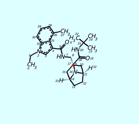 CCn1cc(C(=O)NC[C@@H]2C[C@H]3CC[C@@H](C2)N3CC(=O)NC(C)(C)C)c2c(C)cccc21